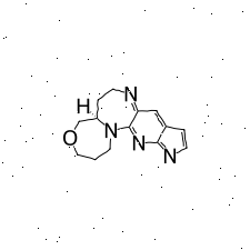 C1=Cc2cc3c(nc2=N1)N1CCCOC[C@H]1CCN=3